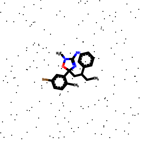 CCC(CC1(c2cc(Br)ccc2C)N=C(N)N(C)O1)c1ccccc1